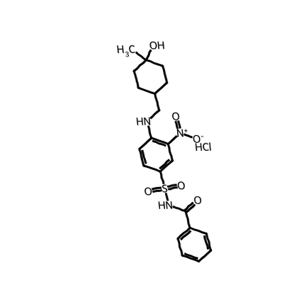 CC1(O)CCC(CNc2ccc(S(=O)(=O)NC(=O)c3ccccc3)cc2[N+](=O)[O-])CC1.Cl